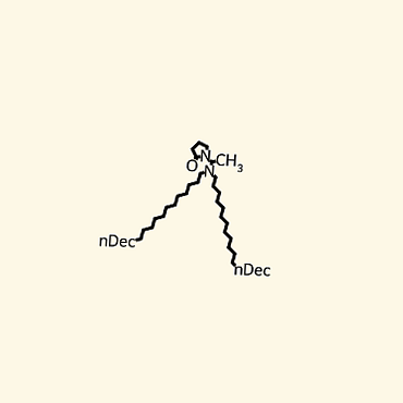 CCCCCCCCCCCCCCCCCCCCCCN(CCCCCCCCCCCCCCCCCCCCCC)C(C)N1CCCC1=O